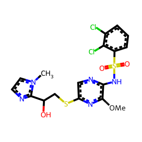 COc1nc(SCC(O)c2nccn2C)cnc1NS(=O)(=O)c1cccc(Cl)c1Cl